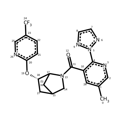 Cc1cnc(-n2nccn2)c(C(=O)N2CC3CC2[C@@H](Oc2ccc(C(F)(F)F)cn2)C3)c1